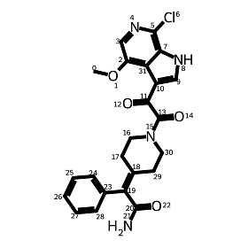 COc1cnc(Cl)c2[nH]cc(C(=O)C(=O)N3CCC(=C(C(N)=O)c4ccccc4)CC3)c12